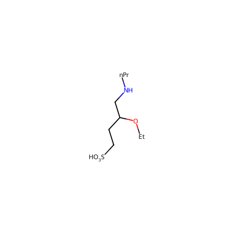 CCCNCC(CCS(=O)(=O)O)OCC